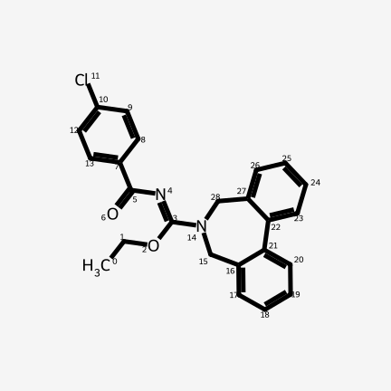 CCOC(=NC(=O)c1ccc(Cl)cc1)N1Cc2ccccc2-c2ccccc2C1